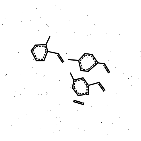 C=C.C=Cc1ccc(C)cc1.C=Cc1cccc(C)c1.C=Cc1ccccc1C